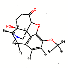 [2H]c1c([2H])c2c3c(c1OC([2H])([2H])[2H])OC1C(=O)CC[C@@]4(O)[C@H](N(C)CC[C@]314)C2([2H])[2H]